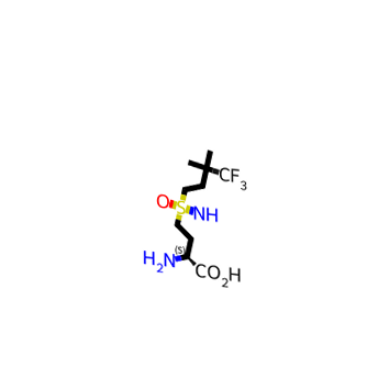 CC(C)(CCS(=N)(=O)CC[C@H](N)C(=O)O)C(F)(F)F